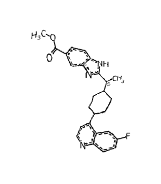 COC(=O)c1ccc2[nH]c([C@@H](C)C3CCC(c4ccnc5ccc(F)cc45)CC3)nc2c1